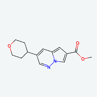 COC(=O)c1cc2cc(C3CCOCC3)cnn2c1